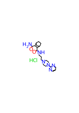 Cl.NC(=O)C1C2CCC(C2)C1C(=O)NCCCN1CCN(c2ncccn2)CC1